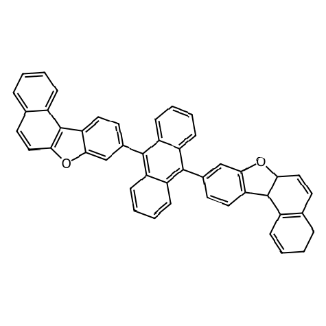 C1=CC2=C(C=CC3Oc4cc(-c5c6ccccc6c(-c6ccc7c(c6)oc6ccc8ccccc8c67)c6ccccc56)ccc4C23)CC1